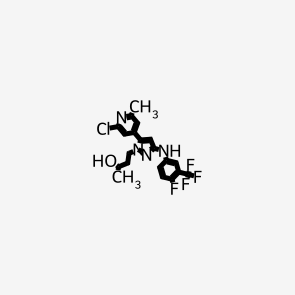 Cc1cc(-c2cc(Nc3ccc(F)c(C(F)(F)F)c3)nn2CCC(C)O)cc(Cl)n1